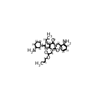 C=CCOC(=O)Cn1c(=O)n(Cc2ncccc2N)c(=O)c2c1nc(N1CCCC(N)C1)n2CC